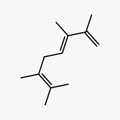 C=C(C)C(C)=CCC(C)=C(C)C